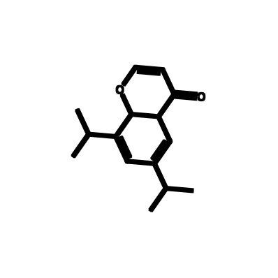 CC(C)C1=CC2C(=O)C=COC2C(C(C)C)=C1